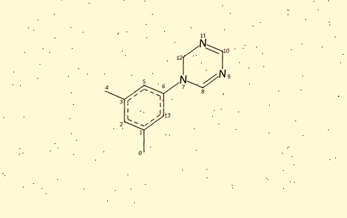 Cc1cc(C)cc(N2C=NC=NC2)c1